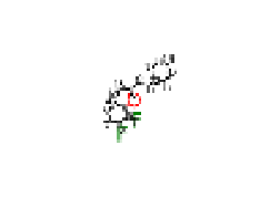 Fc1ccc2c(c1F)OC(CCC1CCCCC1)CC2